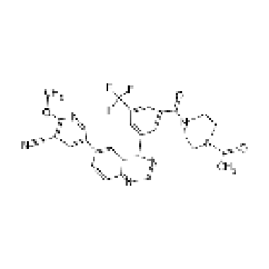 COc1ncc(-c2ccc3ncnc(-c4cc(C(=O)N5CCN(C(C)=O)CC5)cc(C(F)(F)F)c4)c3c2)cc1C#N